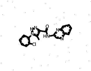 Cc1c(C(=O)Nc2cnc3ccccc3n2)nnn1-c1ccccc1Cl